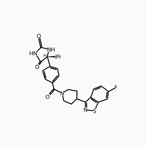 CC(C)[C@]1(c2ccc(C(=O)N3CCC(c4nsc5cc(F)ccc45)CC3)cc2)NC(=O)NC1=O